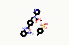 COC(=O)N(Cc1ccc(C(=O)Nc2ccccc2N)cc1)c1cccnc1.Cc1ccc(S(=O)(=O)O)cc1